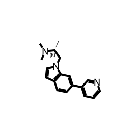 C[C@H](Cn1ccc2ccc(-c3cccnc3)cc21)N(C)C